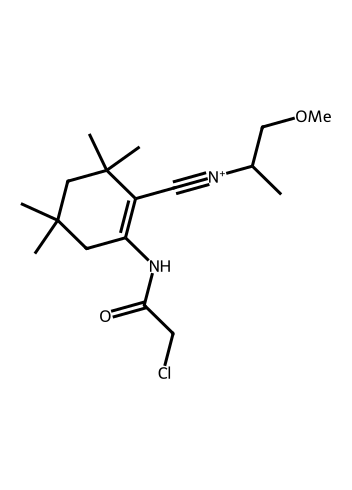 COCC(C)[N+]#CC1=C(NC(=O)CCl)CC(C)(C)CC1(C)C